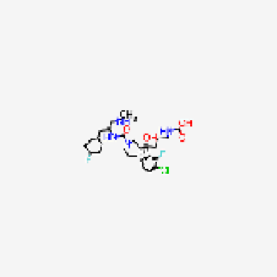 CNC[C@H](CC1CCC(F)CC1)NC(=O)N1CCC[C@@H]([C@@](O)(CCCNC(=O)O)c2cccc(Cl)c2F)C1